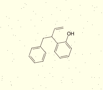 C=CC(Cc1ccccc1)c1ccccc1O